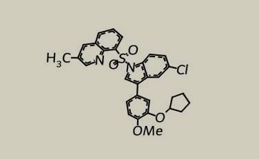 COc1ccc(-c2cn(S(=O)(=O)c3cccc4cc(C)cnc34)c3ccc(Cl)cc23)cc1OC1CCCC1